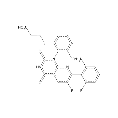 CC(C)c1nccc(SCCC(=O)O)c1-n1c(=O)[nH]c(=O)c2cc(F)c(-c3c(N)cccc3F)nc21